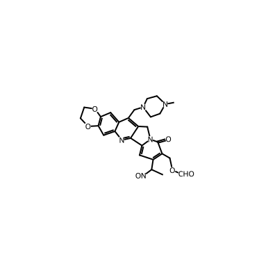 CC(N=O)c1cc2n(c(=O)c1COC=O)Cc1c-2nc2cc3c(cc2c1CN1CCN(C)CC1)OCCO3